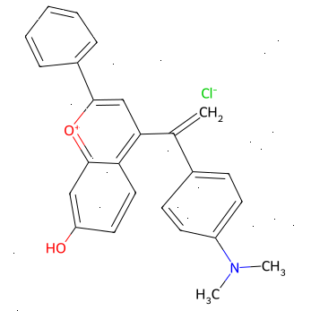 C=C(c1ccc(N(C)C)cc1)c1cc(-c2ccccc2)[o+]c2cc(O)ccc12.[Cl-]